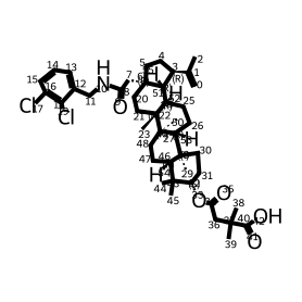 C=C(C)[C@@H]1CC[C@]2(CC(=O)NCc3cccc(Cl)c3Cl)CC[C@]3(C)[C@H](CC[C@@H]4[C@@]5(C)CC[C@H](OC(=O)CC(C)(C)C(=O)O)C(C)(C)[C@@H]5CC[C@]43C)[C@@H]12